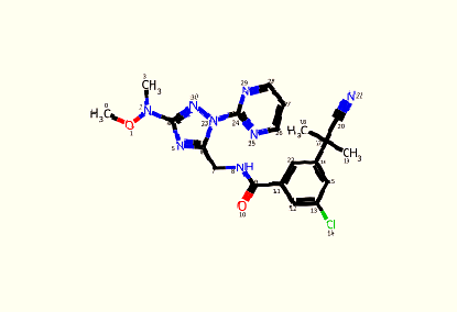 CON(C)c1nc(CNC(=O)c2cc(Cl)cc(C(C)(C)C#N)c2)n(-c2ncccn2)n1